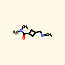 C=NCC1CC(C(=O)N(C)C)C1